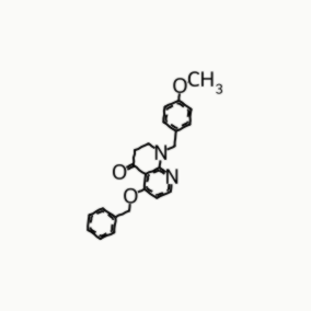 COc1ccc(CN2CCC(=O)c3c(OCc4ccccc4)ccnc32)cc1